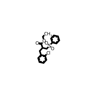 CCOC(=O)C(Cc1ccccc1Cl)CS(=O)(=O)c1ccccc1